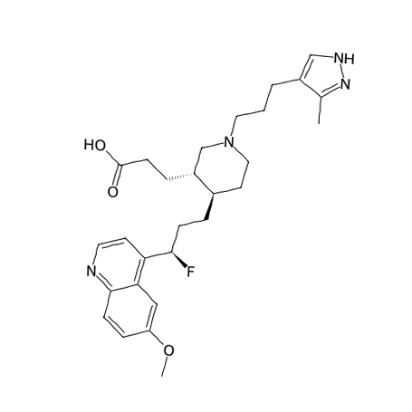 COc1ccc2nccc([C@H](F)CC[C@@H]3CCN(CCCc4c[nH]nc4C)C[C@H]3CCC(=O)O)c2c1